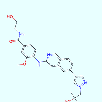 COc1cc(C(=O)NCCO)ccc1Nc1cc2cc(-c3cnn(CC(C)(C)O)c3)ccc2cn1